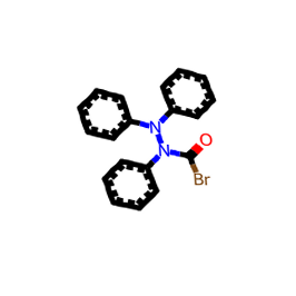 O=C(Br)N(c1ccccc1)N(c1ccccc1)c1ccccc1